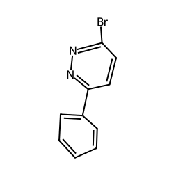 Brc1ccc(-c2ccccc2)nn1